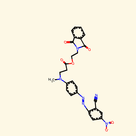 CN(CCC(=O)OCCN1C(=O)c2ccccc2C1=O)c1ccc(N=Nc2ccc([N+](=O)[O-])cc2C#N)cc1